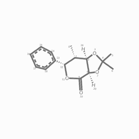 C[C@@H]1[C@H]2OC(C)(C)O[C@H]2C(=O)O[C@@H]1c1ccccc1